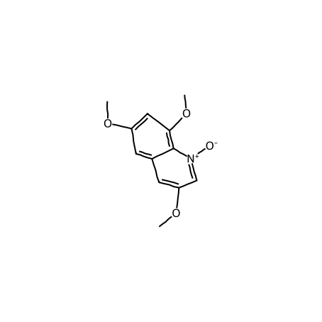 COc1cc(OC)c2c(c1)cc(OC)c[n+]2[O-]